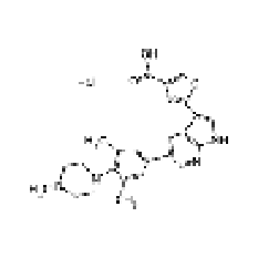 Cc1cc(-c2cnc3[nH]cc(-c4nc(C(=O)O)co4)c3c2)cc(C)c1N1CCN(C)CC1.Cl